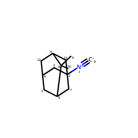 [C-]#[N+]C12CC3CC(C1)C(C)(C)C(C3)C2